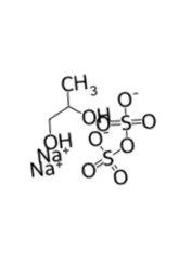 CC(O)CO.O=S(=O)([O-])OS(=O)(=O)[O-].[Na+].[Na+]